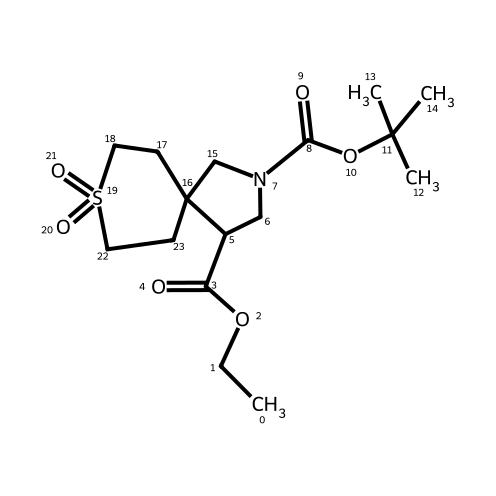 CCOC(=O)C1CN(C(=O)OC(C)(C)C)CC12CCS(=O)(=O)CC2